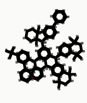 CC(C)(C)c1ccc(N2c3ccccc3B3c4cc5c(cc4N(c4ccc6c(c4)C(C)(C)CCC6(C)C)c4cc(N6c7ccc(-c8ccccc8)cc7C7(C)CCCCC67C)cc2c43)C(C)(C)CCC5(C)C)c(-c2ccccc2)c1